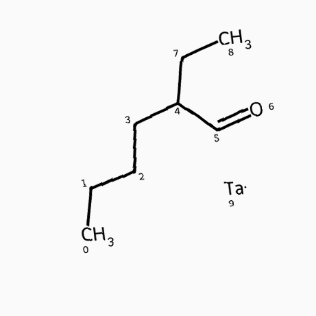 CCCCC(C=O)CC.[Ta]